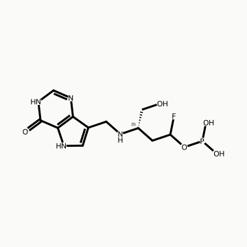 O=c1[nH]cnc2c(CN[C@H](CO)CC(F)OP(O)O)c[nH]c12